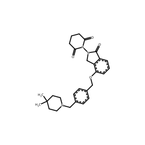 CC1(C)CCN(Cc2ccc(COc3cccc4c3CN(N3C(=O)CCCC3=O)C4=O)cc2)CC1